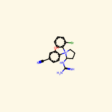 N#Cc1ccc([N+]2(c3ccccc3Br)CCCC2NC(=N)N)c(O)c1